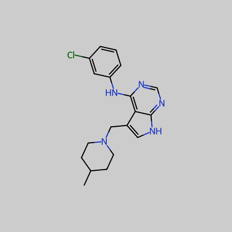 CC1CCN(Cc2c[nH]c3ncnc(Nc4cccc(Cl)c4)c23)CC1